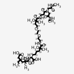 CCC(C)(CC(=O)O)CC(C)(C)C(=O)N[C@@H](CCCCC(C)(C)C(=O)NCCOCCOCCC(C)(C)C(=O)NCCC(=O)N(CC(=O)NC)CC(=O)NC)C(=O)O